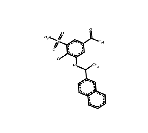 CC(Nc1cc(C(=O)O)cc(S(N)(=O)=O)c1Cl)c1ccc2ccccc2c1